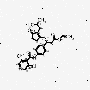 CCOC(=O)CC(NC1=C(CC(C)C)C(=O)CC1)c1ccc(NC(=O)c2c(Cl)cncc2Cl)cc1